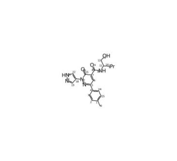 Cc1ccc(-c2cc(C(=O)NC(CO)C(C)C)c(=O)n(-c3cn[nH]c3)n2)cc1